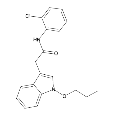 CCCOn1cc(CC(=O)Nc2ccccc2Cl)c2ccccc21